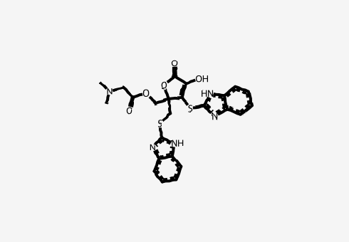 CN(C)CC(=O)OCC1(CSc2nc3ccccc3[nH]2)OC(=O)C(O)=C1Sc1nc2ccccc2[nH]1